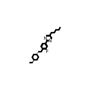 CCCCCc1cnc(-c2ccc(CC[C@H]3CC[C@H](CC)CC3)c(F)c2)nc1